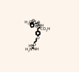 CC1(C)C2CC[C@@]1(CS(=O)(=O)N[C@@H](Cc1ccc(OCCCONC(=N)N)cc1)C(=O)O)C(=O)C2